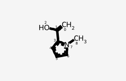 C=C(O)c1cccn1C